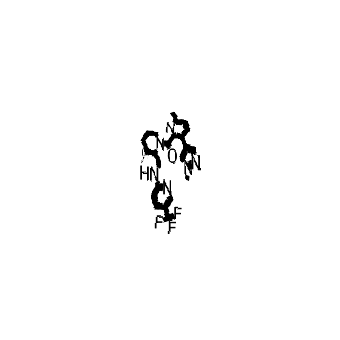 Cc1ccc(-c2cnn(C)c2)c(C(=O)N2CCC[C@@H](C)C2CNc2ccc(C(F)(F)F)cn2)n1